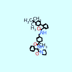 CC1(C(=O)N[C@H](C(=O)N2CCCCC2)c2ccccc2)CC=C(CNC(=O)c2ccccc2-c2ccc(C(C)(C)C)cc2)CC1